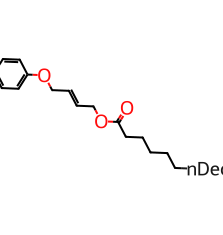 CCCCCCCCCCCCCCCC(=O)OCC=CCOc1ccccc1